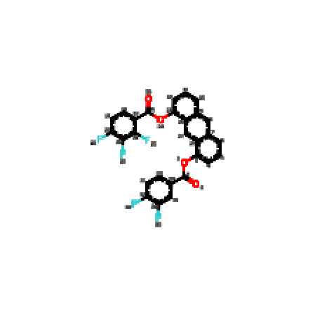 O=C(Oc1cccc2cc3cccc(OC(=O)c4ccc(F)c(F)c4F)c3cc12)c1ccc(F)c(F)c1